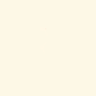 OC(=S)OC(F)(F)F